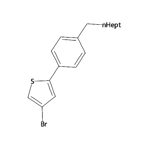 CCCCCCCCc1ccc(-c2cc(Br)cs2)cc1